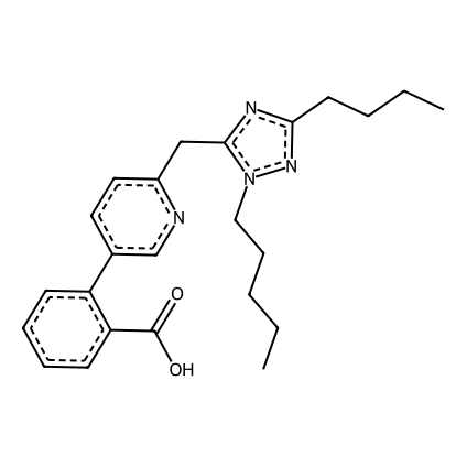 CCCCCn1nc(CCCC)nc1Cc1ccc(-c2ccccc2C(=O)O)cn1